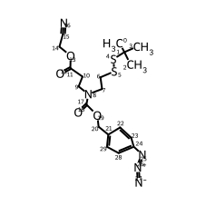 CC(C)(C)SSCCN(CCC(=O)OCC#N)C(=O)OCc1ccc(N=[N+]=[N-])cc1